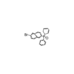 O=P(c1ccccc1)(c1ccc2cc(Br)ccc2c1)C1C=CC=CC1